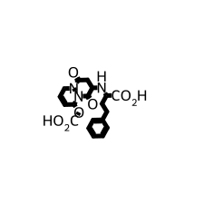 O=C(O)OC1C=CCN2C(=O)CC(NC(CCc3ccccc3)C(=O)O)C(=O)N12